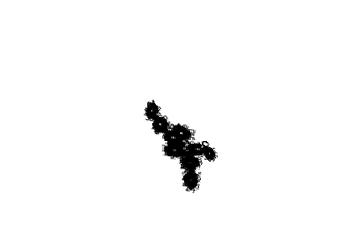 c1ccc(-c2ccc(-c3cc4c5cccc(N(c6ccc(-c7ccccc7)cc6)c6ccc7sc8ccccc8c7c6)c5oc4c4ccccc34)cc2)cc1